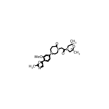 COc1cc(N2CCC(=O)N(CC(=O)N3C[C@@H](C)O[C@@H](C)C3)CC2)ccc1-c1cnc(C)o1